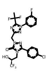 CC(F)(F)c1nc(Cn2nc(-c3ccc(Cl)cc3)n(C[C@H](O)C(F)(F)F)c2=O)nn1-c1cccc(F)c1